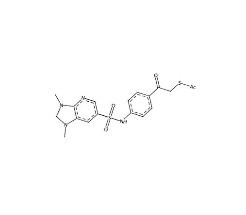 CC(=O)SCC(=O)c1ccc(NS(=O)(=O)c2cnc3c(c2)N(C)CN3C)cc1